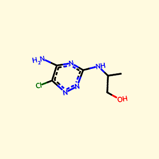 CC(CO)Nc1nnc(Cl)c(N)n1